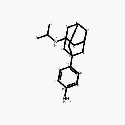 CC(C)NC12CC3CC(C1)CC(c1ccc(N)cc1)(C3)C2